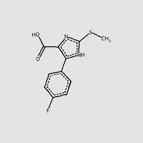 CSc1nc(C(=O)O)c(-c2ccc(F)cc2)[nH]1